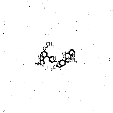 CCOc1cc(-c2ccc(N3C(C)CC4CC3CC(CC)(C(=O)Nc3ncccc3Cl)C4)nc2)c2c3cn[nH]c3nn2c1